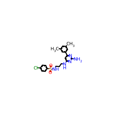 Cc1cc(C)cc(-c2cc(NCCCNS(=O)(=O)c3ccc(Cl)cc3)nc(N)n2)c1